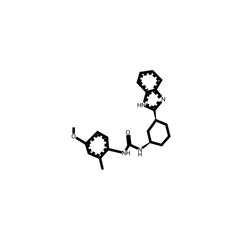 COc1ccc(NC(=O)N[C@@H]2CCC[C@H](c3nc4ccccc4[nH]3)C2)c(C)c1